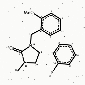 COc1ccccc1CN1CCC(C)C1=O.Fc1ccccc1